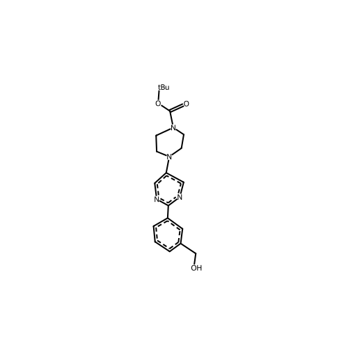 CC(C)(C)OC(=O)N1CCN(c2cnc(-c3cccc(CO)c3)nc2)CC1